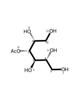 CC(=O)O[C@@H]([C@H](O)[C@H](O)CO)[C@H](O)CO